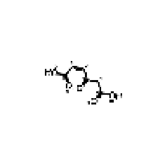 O=C(O)/C=C\C(=O)CC(=O)O